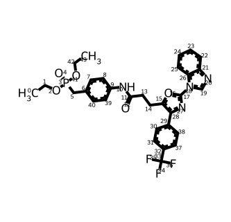 CCOP(=O)(Cc1ccc(NC(=O)CCc2oc(-n3cnc4ccccc43)nc2-c2ccc(C(F)(F)F)cc2)cc1)OCC